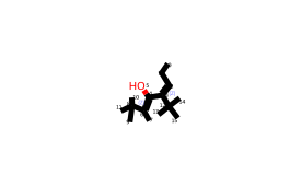 CC/C=C(\C(O)=C(/C)C(C)(C)C)C(C)(C)C